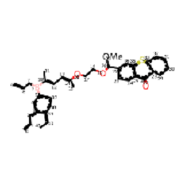 C=C/C=c1/cc(B(CC=C)/C(C)=C/C=C(\C)OCCOC(OC)c2ccc3c(=O)c4ccccc4sc3c2)cc/c1=C/C